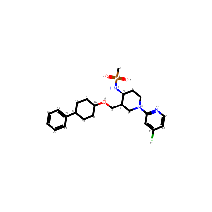 CS(=O)(=O)N[C@H]1CCN(c2cc(F)ccn2)CC1COC1CCC(c2ccccc2)CC1